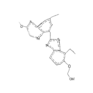 CCc1c(OCO)ccc2nc(-c3cc(C)cc4nc(OC)cnc34)sc12